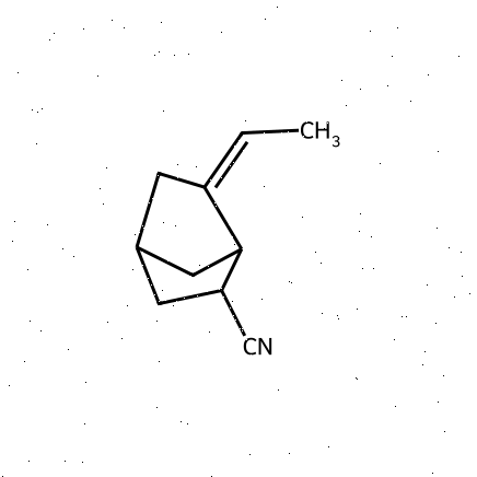 CC=C1CC2CC(C#N)C1C2